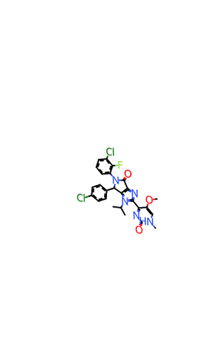 CN/C=C(OC)\C(=N/C=O)c1nc2c(n1C(C)C)C(c1ccc(Cl)cc1)N(c1cccc(Cl)c1F)C2=O